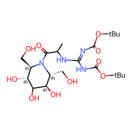 CC(NC(=NC(=O)OC(C)(C)C)NC(=O)OC(C)(C)C)C(=O)N1[C@H](CO)[C@@H](O)C(O)[C@H](O)[C@H]1CO